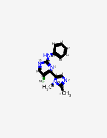 Cc1ncc(-c2nc(Nc3ccccc3)ncc2F)n1C